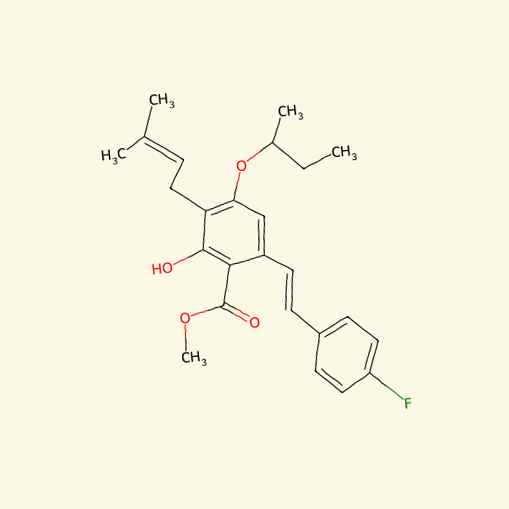 CCC(C)Oc1cc(C=Cc2ccc(F)cc2)c(C(=O)OC)c(O)c1CC=C(C)C